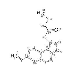 C=Cc1ccc2c(ccc3onc(CC(=O)OCC)c32)c1